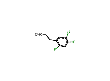 O=CCCc1cc(Cl)c(F)cc1F